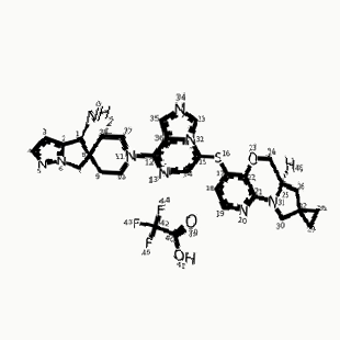 N[C@@H]1c2ccnn2CC12CCN(c1ncc(Sc3ccnc4c3OC[C@H]3CC5(CC5)CN43)n3cncc13)CC2.O=C(O)C(F)(F)F